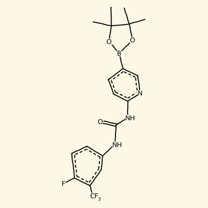 CC1(C)OB(c2ccc(NC(=O)Nc3ccc(F)c(C(F)(F)F)c3)nc2)OC1(C)C